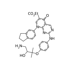 CCOC(=O)c1cn(-c2ccc3c(c2)CCC3)c2nc(Nc3ccc(OC(C)(C)C(O)CN)cc3)ncc2c1=O